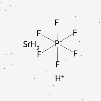 F[P-](F)(F)(F)(F)F.[H+].[SrH2]